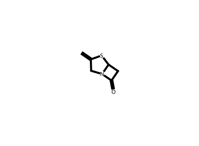 C=C1CN2C(=O)CC2S1